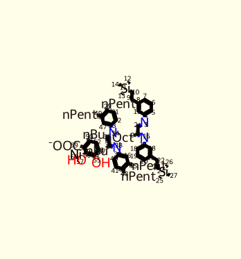 CCCCCCCCC(C=Nc1cccc(CC[Si](C)(C)C)c1)=Nc1cccc(CC[Si](C)(C)C)c1.CCCCCc1ccc(N=CC(CCCC)=Nc2ccc(CCCCC)c(CCCCC)c2)cc1CCCCC.CCCCc1ccc(O)c(O)c1C(=O)[O-].[Ni+2]